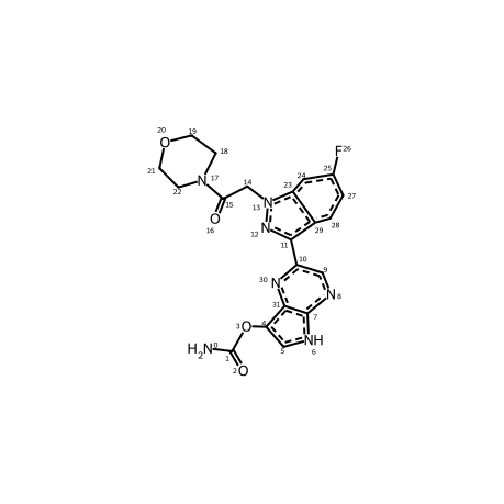 NC(=O)Oc1c[nH]c2ncc(-c3nn(CC(=O)N4CCOCC4)c4cc(F)ccc34)nc12